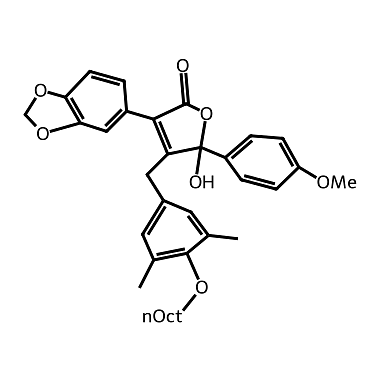 CCCCCCCCOc1c(C)cc(CC2=C(c3ccc4c(c3)OCO4)C(=O)OC2(O)c2ccc(OC)cc2)cc1C